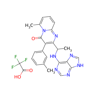 Cc1cccc(-c2c(C(C)Nc3ncnc4[nH]cnc34)nc3cccc(C)n3c2=O)c1.O=C(O)C(F)(F)F